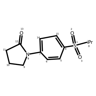 CC(C)S(=O)(=O)c1ccc(N2CCCC2=O)cc1